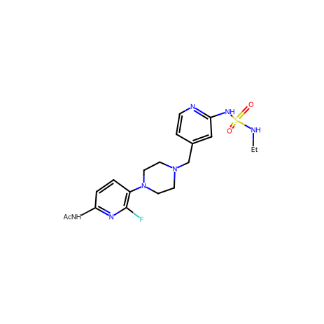 CCNS(=O)(=O)Nc1cc(CN2CCN(c3ccc(NC(C)=O)nc3F)CC2)ccn1